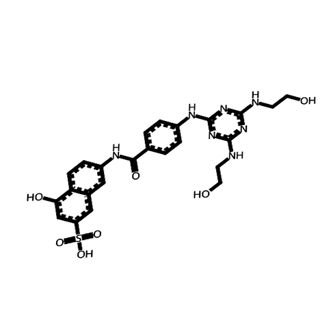 O=C(Nc1ccc2c(O)cc(S(=O)(=O)O)cc2c1)c1ccc(Nc2nc(NCCO)nc(NCCO)n2)cc1